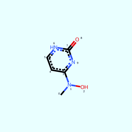 CN(O)c1cc[nH]c(=O)n1